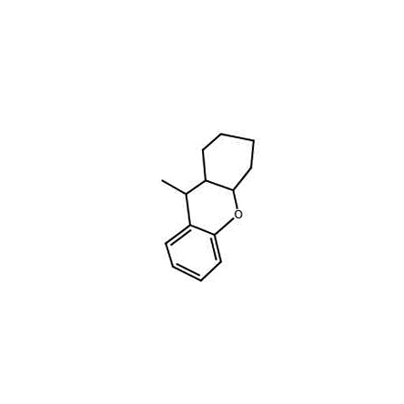 CC1c2ccccc2OC2CCCCC21